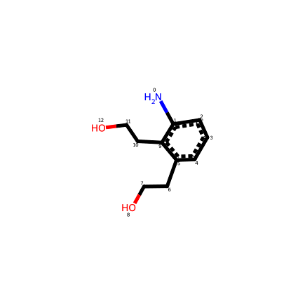 Nc1[c]ccc(CCO)c1CCO